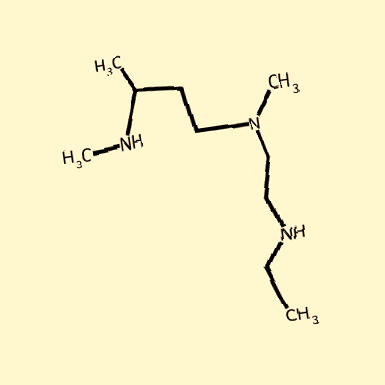 CCNCCN(C)CCC(C)NC